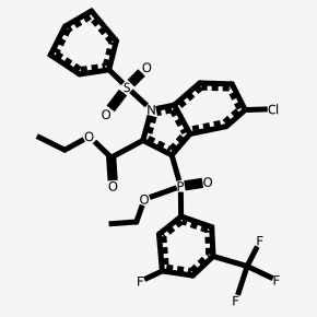 CCOC(=O)c1c(P(=O)(OCC)c2cc(F)cc(C(F)(F)F)c2)c2cc(Cl)ccc2n1S(=O)(=O)c1ccccc1